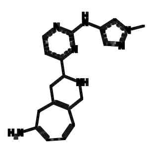 Cn1cc(Nc2nccc(C3CC4=C(C=CC=C(N)C4)CN3)n2)cn1